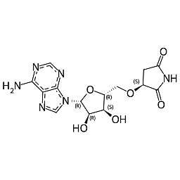 Nc1ncnc2c1ncn2[C@@H]1O[C@H](CO[C@H]2CC(=O)NC2=O)[C@@H](O)[C@H]1O